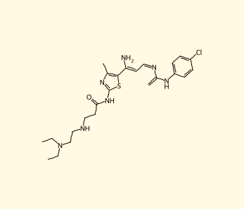 C=C(/N=C\C=C(/N)c1sc(NC(=O)CCNCCN(CC)CC)nc1C)Nc1ccc(Cl)cc1